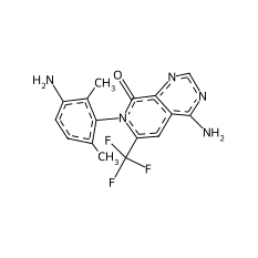 Cc1ccc(N)c(C)c1-n1c(C(F)(F)F)cc2c(N)ncnc2c1=O